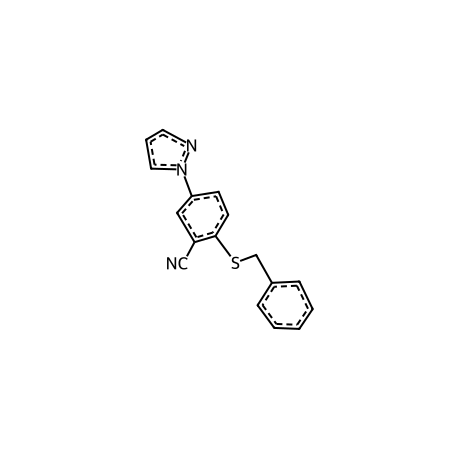 N#Cc1cc(-n2cccn2)ccc1SCc1ccccc1